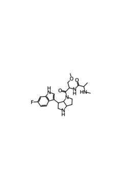 CNC(C)C(=O)NC(COC)C(=O)N1CCC2NCC(c3c[nH]c4cc(F)ccc34)C21